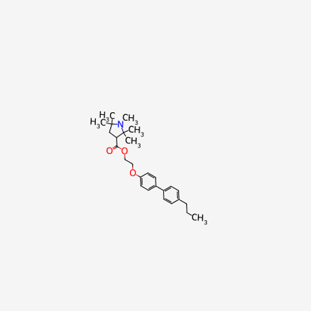 CCCc1ccc(-c2ccc(OCCOC(=O)C3CC(C)(C)N(C)C3(C)C)cc2)cc1